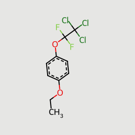 CCOc1ccc(OC(F)(F)C(Cl)(Cl)Cl)cc1